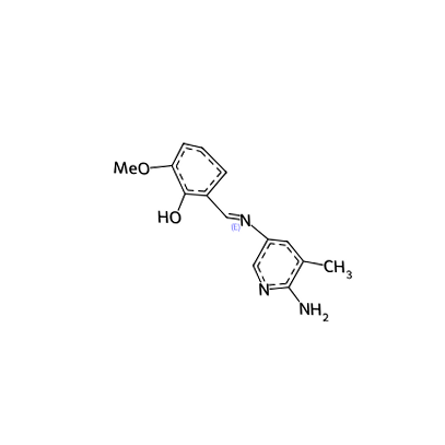 COc1cccc(/C=N/c2cnc(N)c(C)c2)c1O